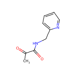 CC(=O)C(=O)NCc1ccccn1